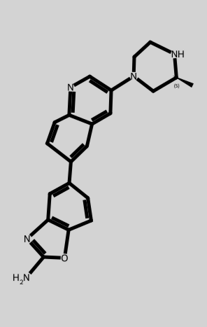 C[C@H]1CN(c2cnc3ccc(-c4ccc5oc(N)nc5c4)cc3c2)CCN1